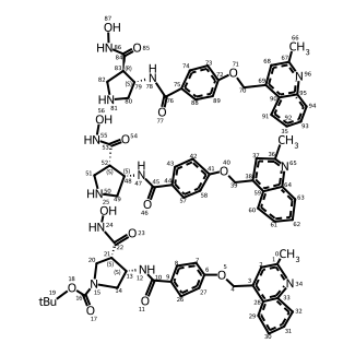 Cc1cc(COc2ccc(C(=O)N[C@@H]3CN(C(=O)OC(C)(C)C)C[C@@H]3C(=O)NO)cc2)c2ccccc2n1.Cc1cc(COc2ccc(C(=O)N[C@@H]3CNC[C@@H]3C(=O)NO)cc2)c2ccccc2n1.Cc1cc(COc2ccc(C(=O)N[C@@H]3CNC[C@H]3C(=O)NO)cc2)c2ccccc2n1